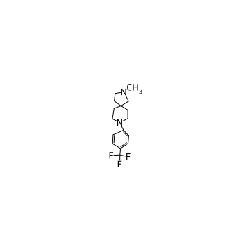 CN1CCC2(CCN(c3ccc(C(F)(F)F)cc3)CC2)C1